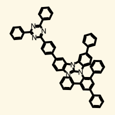 c1ccc(-c2cc(-c3ccccc3)c(-n3c4ccc(-c5ccccc5)cc4n4c5cc(-c6ccc(-c7nc(-c8ccccc8)nc(-c8ccccc8)n7)cc6)ccc5nc34)c(-c3ccccc3)c2)cc1